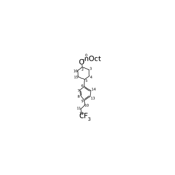 CCCCCCCCOC1CCC(c2ccc(CCC(F)(F)F)cc2)CC1